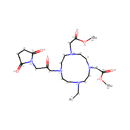 CC(=O)CN1CCN(CC(=O)CN2C(=O)CCC2=O)CCN(CC(=O)OC(C)(C)C)CCN(CC(=O)OC(C)(C)C)CC1